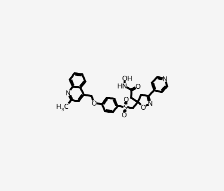 Cc1cc(COc2ccc(S(=O)(=O)CC3(CC(=O)NO)CC(c4ccncc4)=NO3)cc2)c2ccccc2n1